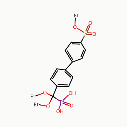 CCOC(OCC)(c1ccc(-c2ccc(S(=O)(=O)OCC)cc2)cc1)P(=O)(O)O